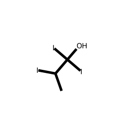 CC(I)C(O)(I)I